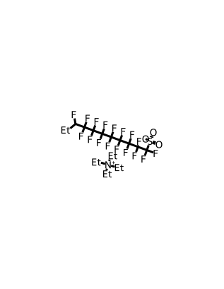 CCC(F)C(F)(F)C(F)(F)C(F)(F)C(F)(F)C(F)(F)C(F)(F)C(F)(F)C(F)(F)S(=O)(=O)[O-].CC[N+](CC)(CC)CC